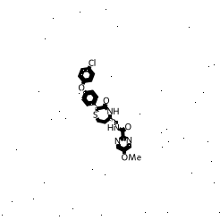 COc1cnc(C(=O)NC[C@@H]2CCS[C@H](c3ccc(Oc4ccc(Cl)cc4)cc3)C(=O)N2)nc1